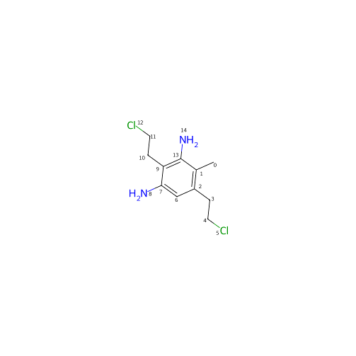 Cc1c(CCCl)cc(N)c(CCCl)c1N